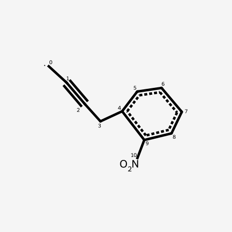 [CH2]C#CCc1ccccc1[N+](=O)[O-]